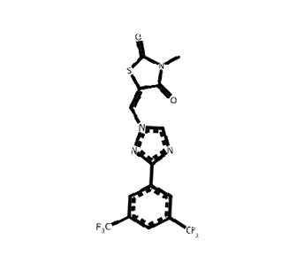 CN1C(=O)SC(=Cn2cnc(-c3cc(C(F)(F)F)cc(C(F)(F)F)c3)n2)C1=O